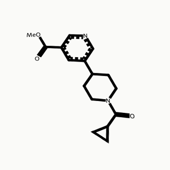 COC(=O)c1cncc(C2CCN(C(=O)C3CC3)CC2)c1